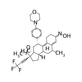 CC(=O)[C@@]1(C#CC(F)(F)F)CC[C@H]2[C@@H]3CC(C)C4=CC(=NO)CCC4=C3[C@@H](c3ccc(N4CCOCC4)cc3)C[C@@]21C